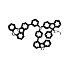 CC1(c2ccccc2)c2ccccc2-c2ccc(N(c3ccc(-c4cccc5oc6ccccc6c45)cc3)c3cccc(-c4ccc5c(c4)c4cccc6c4n5-c4ccccc4O6)c3)cc21